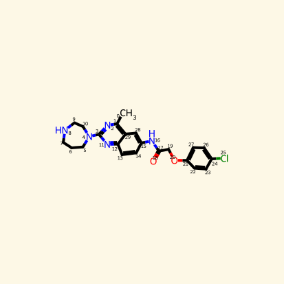 Cc1nc(N2CCCNCC2)nc2ccc(NC(=O)COc3ccc(Cl)cc3)cc12